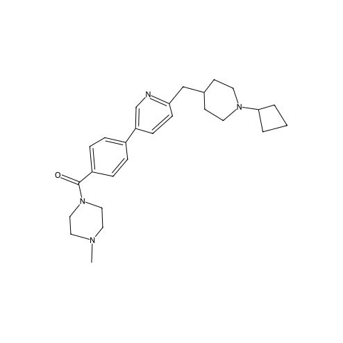 CN1CCN(C(=O)c2ccc(-c3ccc(CC4CCN(C5CCC5)CC4)nc3)cc2)CC1